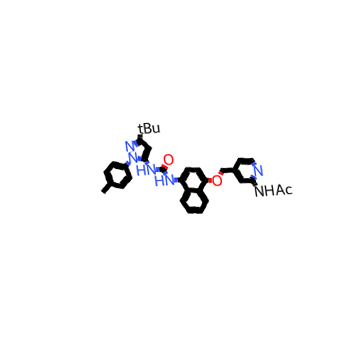 CC(=O)Nc1cc(COc2ccc(NC(=O)Nc3cc(C(C)(C)C)nn3-c3ccc(C)cc3)c3ccccc23)ccn1